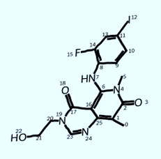 Cc1c(=O)n(C)c(Nc2ccc(I)cc2F)c2c(=O)n(CCO)cnc12